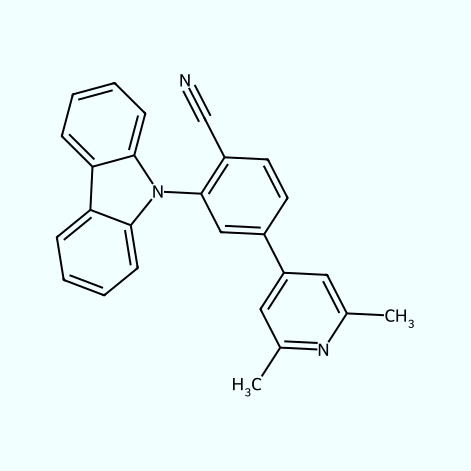 Cc1cc(-c2ccc(C#N)c(-n3c4ccccc4c4ccccc43)c2)cc(C)n1